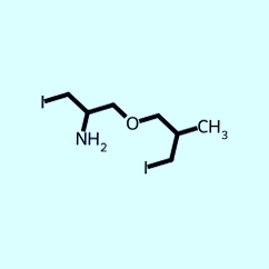 CC(CI)COCC(N)CI